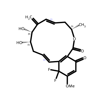 C=C1/C=C/C[C@H](C)OC(=O)C2=C(/C=C/C[C@H](O)[C@@H]1O)C(F)(F)C(OC)=CC2=O